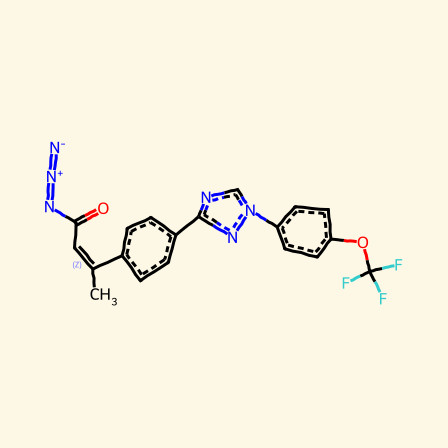 C/C(=C/C(=O)N=[N+]=[N-])c1ccc(-c2ncn(-c3ccc(OC(F)(F)F)cc3)n2)cc1